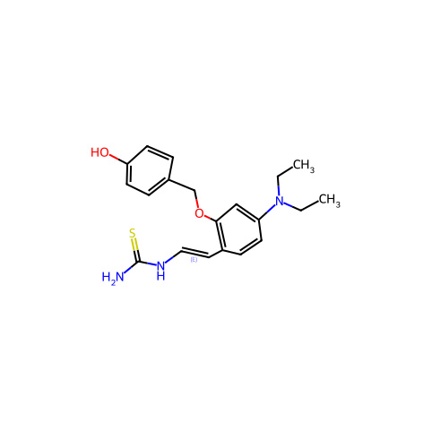 CCN(CC)c1ccc(/C=C/NC(N)=S)c(OCc2ccc(O)cc2)c1